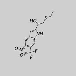 CCSCC(O)c1cc2cc([N+](=O)[O-])c(C(F)(F)F)cc2[nH]1